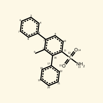 Cc1c(-c2ccccc2)ccc(S(N)(=O)=O)c1-c1ccccc1